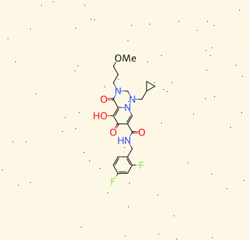 COCCCN1CN(CC2CC2)n2cc(C(=O)NCc3ccc(F)cc3F)c(=O)c(O)c2C1=O